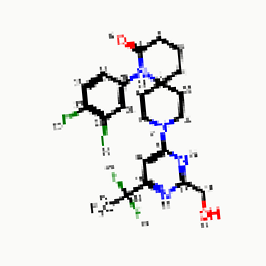 O=C1CCCC2(CCN(c3cc(C(F)(F)C(F)(F)F)nc(CO)n3)CC2)N1c1ccc(F)c(F)c1